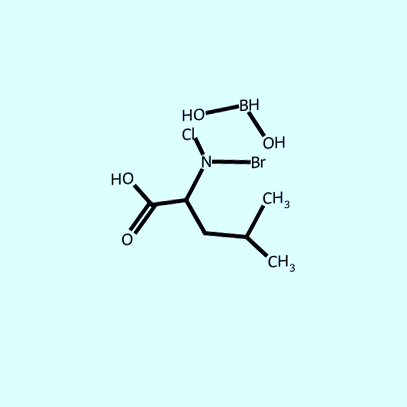 CC(C)CC(C(=O)O)N(Cl)Br.OBO